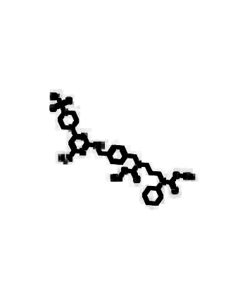 CC(C)S(=O)(=O)N1CCN(c2cc(N)nc(NCc3ccc(CN(CCCN(C(=O)OC(C)(C)C)C4CCCCC4)C(=O)OC(C)(C)C)cc3)n2)CC1